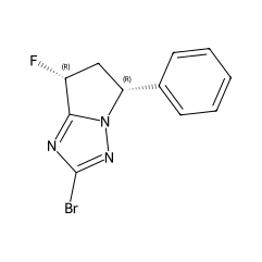 F[C@@H]1C[C@H](c2ccccc2)n2nc(Br)nc21